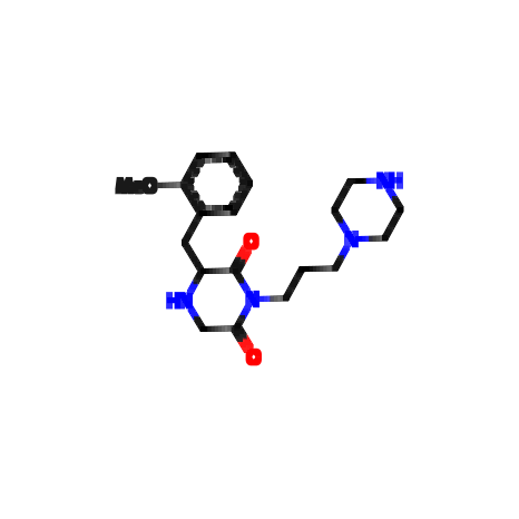 COc1ccccc1CC1NCC(=O)N(CCCN2CCNCC2)C1=O